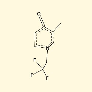 Cc1cn(CC(F)(F)F)ccc1=O